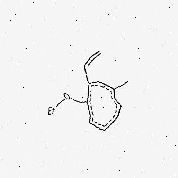 C=Cc1c(C)cccc1OCC